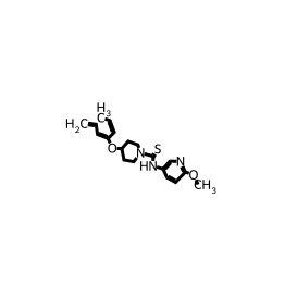 C=C/C=C(\C=C/C)OC1CCN(C(=S)Nc2ccc(OC)nc2)CC1